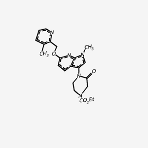 CCOC(=O)N1CCN(c2cn(C)c3nc(OCc4ncccc4C)ccc23)C(=O)C1